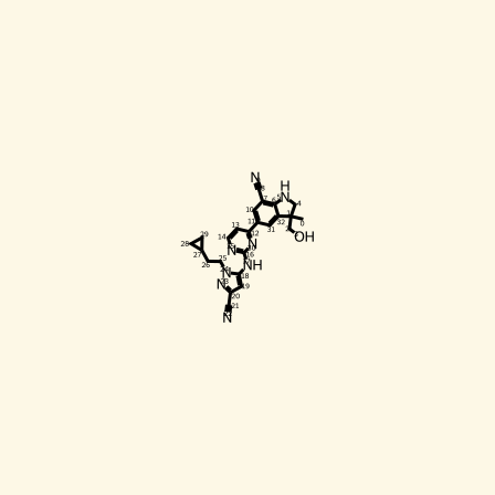 CC1(CO)CNc2c(C#N)cc(-c3ccnc(Nc4cc(C#N)nn4CCC4CC4)n3)cc21